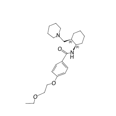 CCOCCOc1ccc(C(=O)N[C@@H]2CCCC[C@@H]2CN2CCCCC2)cc1